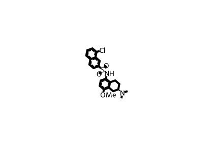 COc1ccc(NS(=O)(=O)c2ccc3cccc(Cl)c3c2)c2c1C[C@@H](N(C)C)CC2